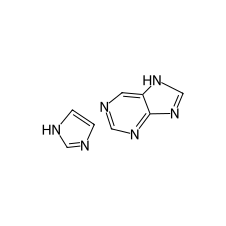 c1c[nH]cn1.c1ncc2[nH]cnc2n1